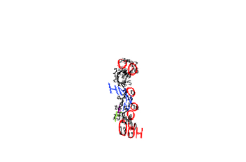 O=C(Nc1ccn(C2O[C@H](CO)[C@@H](O)C2(F)I)c(=O)n1)c1ccc2c(c1)OCCO2